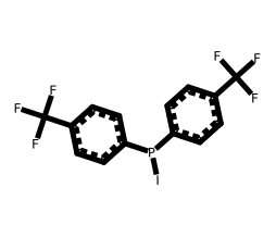 FC(F)(F)c1ccc(P(I)c2ccc(C(F)(F)F)cc2)cc1